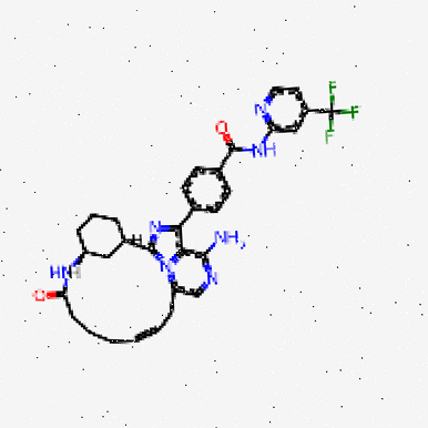 Nc1ncc2n3c(nc(-c4ccc(C(=O)Nc5cc(C(F)(F)F)ccn5)cc4)c13)[C@@H]1CCC[C@H](C1)NC(=O)CCC/C=C\C2